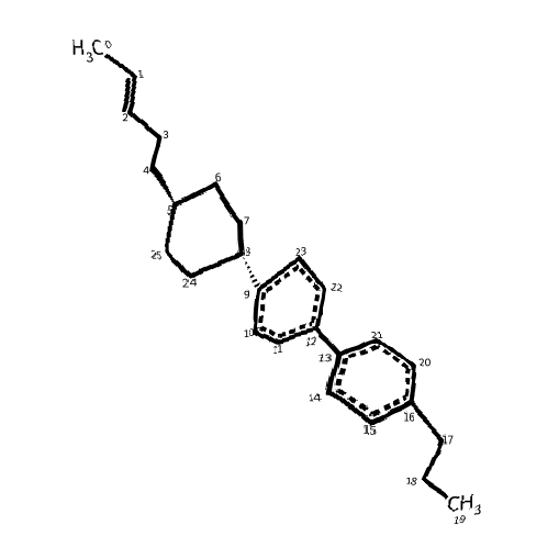 CC=CCC[C@H]1CC[C@H](c2ccc(-c3ccc(CCC)cc3)cc2)CC1